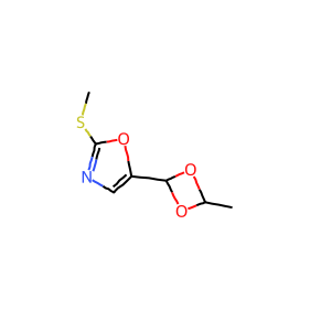 CSc1ncc(C2OC(C)O2)o1